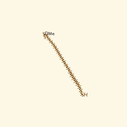 COS(=S)(=S)SSSSSSSSSSSSSSSSSSSSSSSSSSSSSSSSSSSSSSS